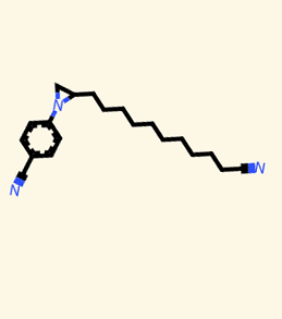 N#CCCCCCCCCCCC1CN1c1ccc(C#N)cc1